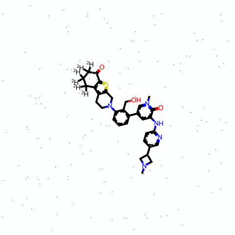 [2H]C1([2H])C(=O)c2sc3c(c2C([2H])([2H])C1([2H])[2H])CCN(c1cccc(-c2cc(Nc4ccc(C5CN(C)C5)cn4)c(=O)n(C)c2)c1CO)C3